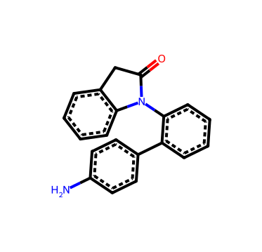 Nc1ccc(-c2ccccc2N2C(=O)Cc3ccccc32)cc1